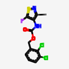 Cc1nsc(I)c1NC(=O)OCc1cccc(Cl)c1Cl